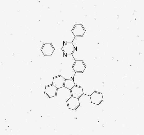 C1=CCC(c2cc3c(c4ccccc24)c2c4ccccc4ccc2n3-c2cccc(-c3nc(-c4ccccc4)nc(-c4ccccc4)n3)c2)C=C1